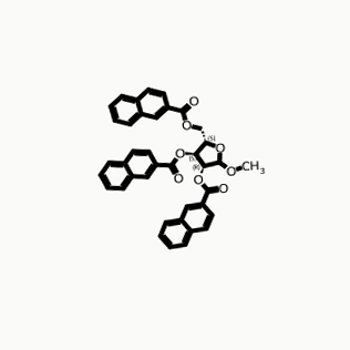 COC1O[C@@H](COC(=O)c2ccc3ccccc3c2)[C@H](OC(=O)c2ccc3ccccc3c2)[C@H]1OC(=O)c1ccc2ccccc2c1